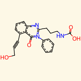 O=C(O)NCCCc1nc2cccc(C#CCO)c2c(=O)n1-c1ccccc1